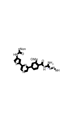 CCCCCCCCCC(=O)Nc1csc(-c2cncc(-c3ccc(C(=O)N/C(N)=N/N=N)c(OC)c3)n2)c1